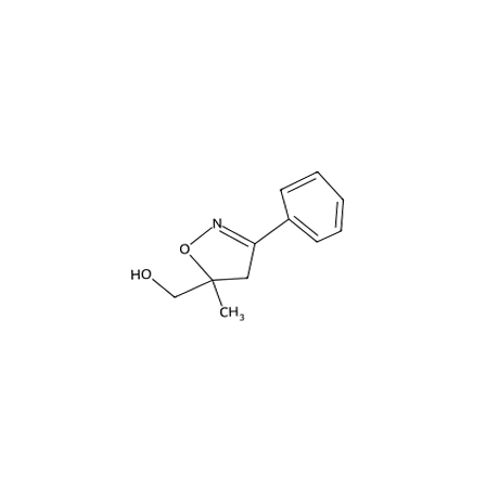 CC1(CO)CC(c2ccccc2)=NO1